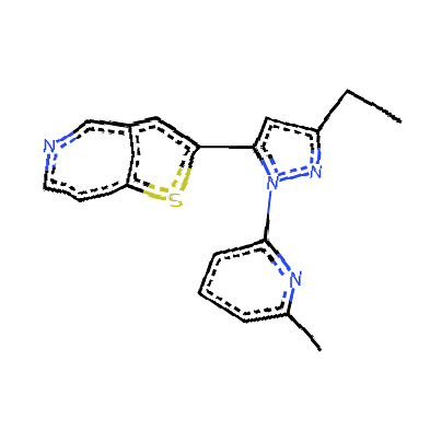 CCc1cc(-c2cc3cnccc3s2)n(-c2cccc(C)n2)n1